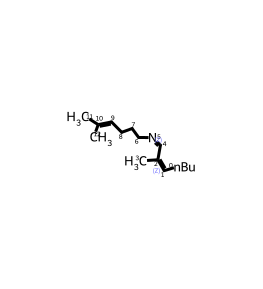 CCCC/C=C(C)\C=N/CCCC=C(C)C